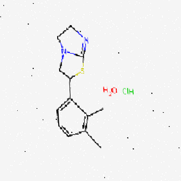 Cc1cccc(C2CN3CCN=C3S2)c1C.Cl.O